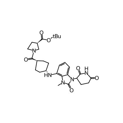 Cn1c(=O)n(C2CCC(=O)NC2=O)c2cccc(N[C@H]3CC[C@H](C(=O)N4CC[C@@H](C(=O)OC(C)(C)C)C4)CC3)c21